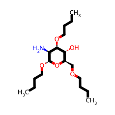 CCCCOC[C@H]1O[C@H](OCCCC)[C@@H](N)[C@@H](OCCCC)[C@@H]1O